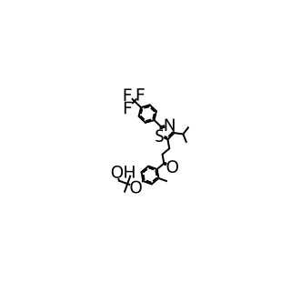 Cc1cc(OC(C)(C)CO)ccc1C(=O)CCc1sc(-c2ccc(C(F)(F)F)cc2)nc1C(C)C